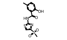 Cc1ccc(O)c(C(=O)Nc2nc(S(C)(=O)=O)cs2)c1